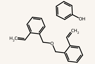 C=Cc1ccccc1COCc1ccccc1C=C.Oc1ccccc1